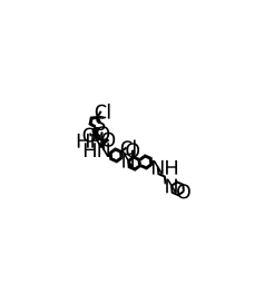 O=C(Nc1ccc(-n2ccc3cc(NCCCN4CCOCC4)ccc3c2=O)c(Cl)c1)NS(=O)(=O)c1ccc(Cl)s1